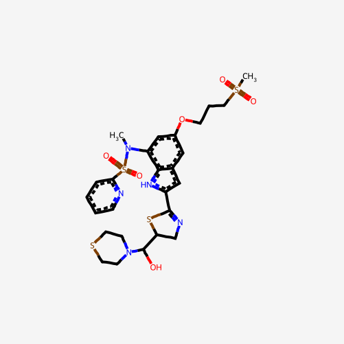 CN(c1cc(OCCCS(C)(=O)=O)cc2cc(C3=NCC(C(O)N4CCSCC4)S3)[nH]c12)S(=O)(=O)c1ccccn1